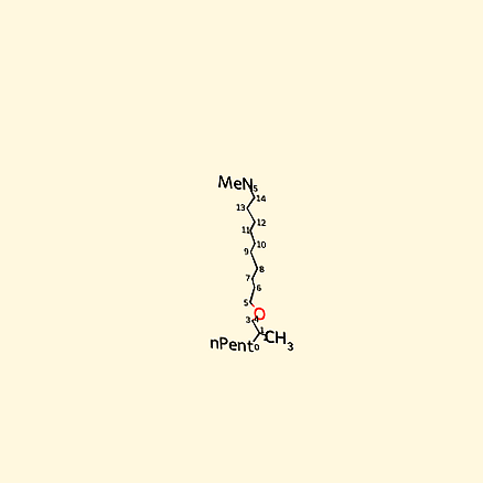 CCCCCC(C)COCCCCCCCCCCNC